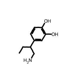 CCC(CN)c1ccc(O)c(O)c1